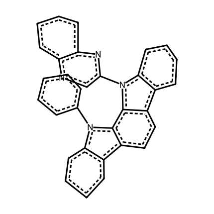 c1ccc(-n2c3ccccc3c3ccc4c5ccccc5n(-c5cnc6ccccc6n5)c4c32)cc1